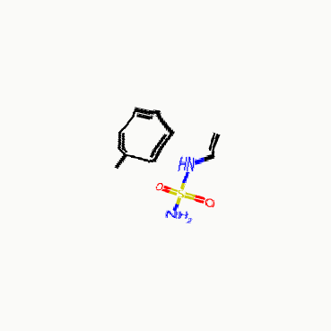 C=CNS(N)(=O)=O.Cc1ccccc1